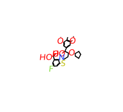 COc1cc(C(O)C(Cc2nc3c(C(=O)O)cc(F)cc3s2)OC2CCCC2)cc(OC)c1C